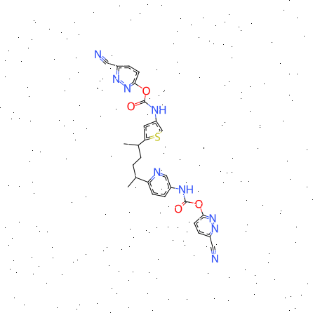 CC(CCC(C)c1cc(NC(=O)Oc2ccc(C#N)nn2)cs1)c1ccc(NC(=O)Oc2ccc(C#N)nn2)cn1